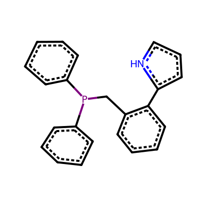 c1ccc(P(Cc2ccccc2-c2ccc[nH]2)c2ccccc2)cc1